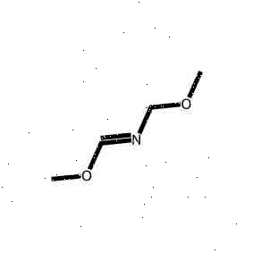 CO[CH]N=COC